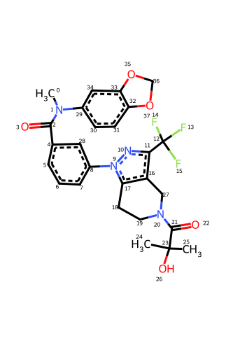 CN(C(=O)c1cccc(-n2nc(C(F)(F)F)c3c2CCN(C(=O)C(C)(C)O)C3)c1)c1ccc2c(c1)OCO2